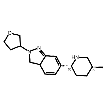 C[C@H]1CC[C@H](C2=CC3=NN(C4CCOC4)CC3C=C2)NC1